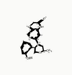 COc1ccccc1[C@@H]1CO[C@H](C)CN1c1cc2c(cn1)OCC(=O)N2